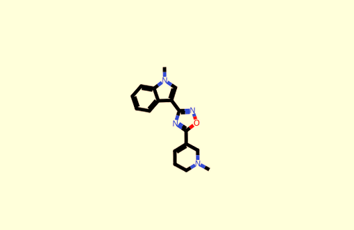 CN1CCC=C(c2nc(-c3cn(C)c4ccccc34)no2)C1